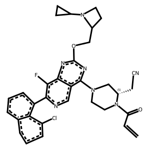 C=CC(=O)N1CCN(c2nc(OCC3CCN3C3CC3)nc3c(F)c(-c4cccc5cccc(Cl)c45)ncc23)C[C@@H]1CC#N